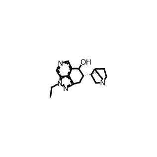 CCn1nc2c3c(cncc31)C(O)[C@H](C1CN3CCC1CC3)C2